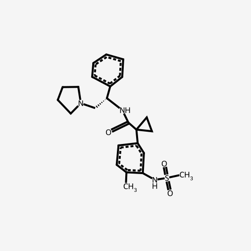 Cc1ccc(C2(C(=O)N[C@H](CN3CCCC3)c3ccccc3)CC2)cc1NS(C)(=O)=O